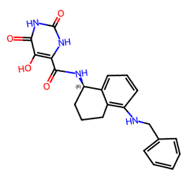 O=C(N[C@@H]1CCCc2c(NCc3ccccc3)cccc21)c1[nH]c(=O)[nH]c(=O)c1O